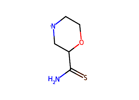 NC(=S)C1C[N]CCO1